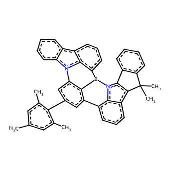 Cc1cc(C)c(-c2cc3c4c(c2)-n2c5ccccc5c5cccc(c52)B4n2c4c(c5cccc-3c52)C(C)(C)c2ccccc2-4)c(C)c1